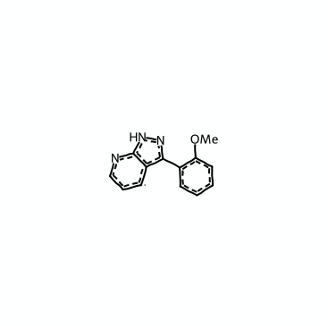 COc1ccccc1-c1n[nH]c2ncc[c]c12